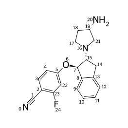 N#Cc1ccc(O[C@@H]2c3ccccc3C[C@H]2N2CC[C@H](N)C2)cc1F